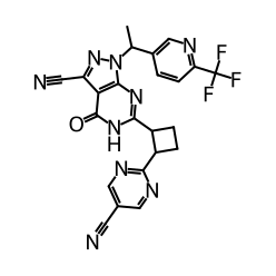 CC(c1ccc(C(F)(F)F)nc1)n1nc(C#N)c2c(=O)[nH]c(C3CCC3c3ncc(C#N)cn3)nc21